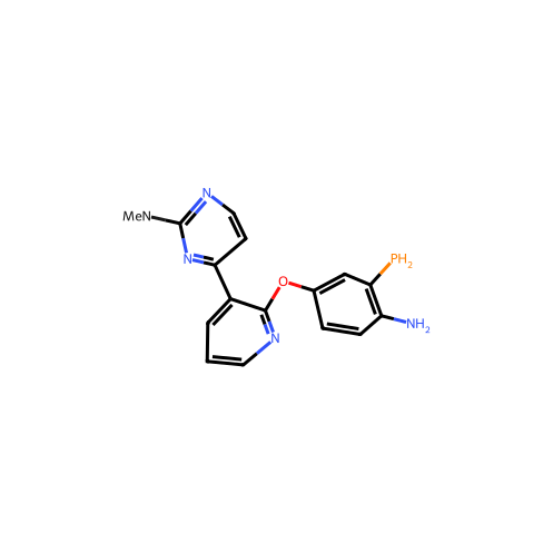 CNc1nccc(-c2cccnc2Oc2ccc(N)c(P)c2)n1